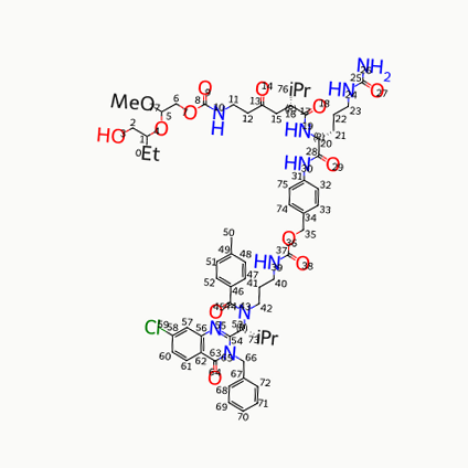 CCC(CO)OC(COC(=O)NCCC(=O)C[C@@H](C(=O)N[C@H](CCCNC(N)=O)C(=O)Nc1ccc(COC(=O)NCCCN(C(=O)c2ccc(C)cc2)[C@@H](c2nc3cc(Cl)ccc3c(=O)n2Cc2ccccc2)C(C)C)cc1)C(C)C)OC